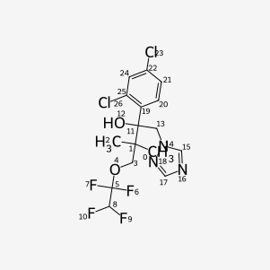 CC(C)(COC(F)(F)C(F)F)C(O)(Cn1cncn1)c1ccc(Cl)cc1Cl